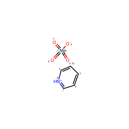 [O]=[Mn](=[O])(=[O])[O-].c1cc[nH+]cc1